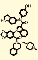 CN1CCN(C[C@@H]2Cc3ccccc3CN2C(=O)c2cc3c(cc2-n2cc(C(=O)N(c4ccc(O)cc4)c4ccc5c(c4)CCN5)c4ccccc42)OCO3)CC1